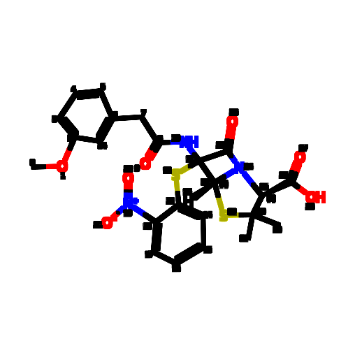 COc1cccc(CC(=O)NC2(Sc3ccccc3[N+](=O)[O-])C(=O)N3[C@@H](C(=O)O)C(C)(C)S[C@@H]32)c1